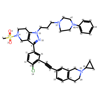 CS(=O)(=O)N1CCc2c(c(-c3ccc(Cl)c(C#Cc4ccc5c(c4)CN(C4CC4)CC5)c3)nn2CCCN2CCN(c3ccccc3)CC2)C1